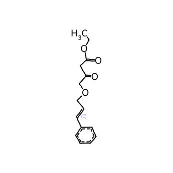 CCOC(=O)CC(=O)COC/C=C/c1ccccc1